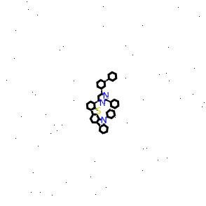 c1ccc(-c2cccc(-c3cc(-c4cccc5c4sc4c5ccc5c6ccccc6n(-c6ccccc6)c54)nc(-c4ccccc4)n3)c2)cc1